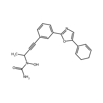 CC(C#Cc1cccc(-c2ncc(C3=CCCC=C3)o2)c1)N(O)C(N)=O